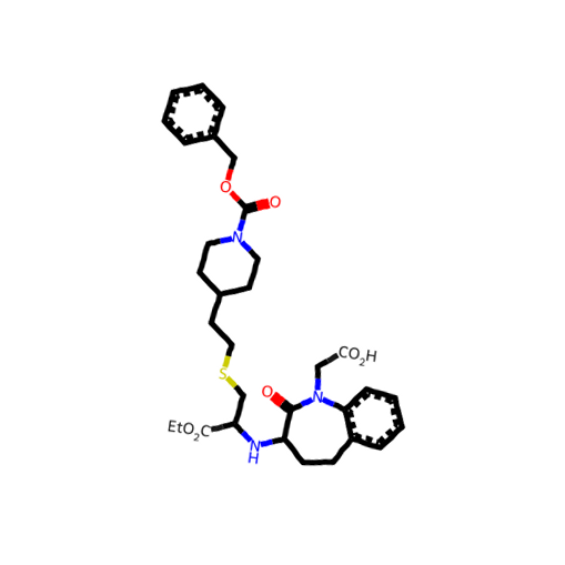 CCOC(=O)C(CSCCC1CCN(C(=O)OCc2ccccc2)CC1)NC1CCc2ccccc2N(CC(=O)O)C1=O